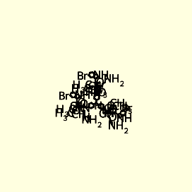 CC(C)(C)OC(=O)N(C(=O)Cc1c[nH]c2ccc(Br)cc12)[C@@H](CCCCN)C(=O)Nc1ccc(C(c2ccc(NC(=O)[C@H](CCCCN)N(C(=O)Cc3c[nH]c4ccc(Br)cc34)C(=O)OC(C)(C)C)cc2)c2ccc(NC(=O)[C@H](CCCCN)N(C(=O)Cc3c[nH]c4ccc(Br)cc34)C(=O)OC(C)(C)C)cc2)cc1